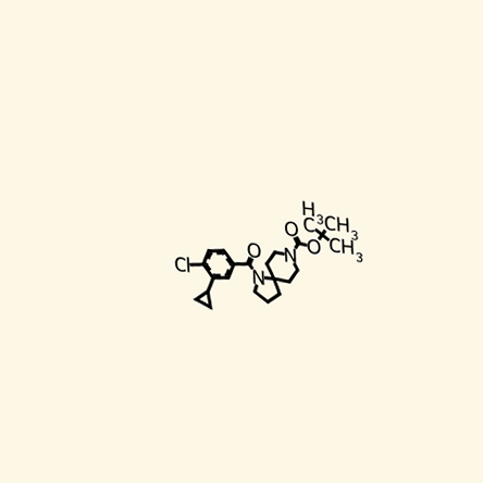 CC(C)(C)OC(=O)N1CCC2(CCCN2C(=O)c2ccc(Cl)c(C3CC3)c2)CC1